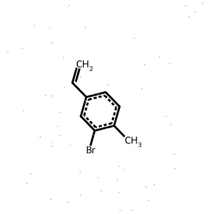 C=Cc1ccc(C)c(Br)c1